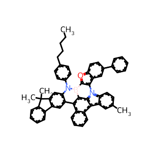 CCCCCc1ccc(N2B3c4oc5ccc(-c6ccccc6)cc5c4-n4c5ccc(C)cc5c5c6ccccc6c(c3c54)-c3cc4c(cc32)C(C)(C)c2ccccc2-4)cc1